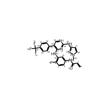 C=CC(=O)Nc1ccc(F)c(Nc2nc(Nc3ccn(C)n3)ncc2-c2ccc(C(F)(F)F)cc2)c1